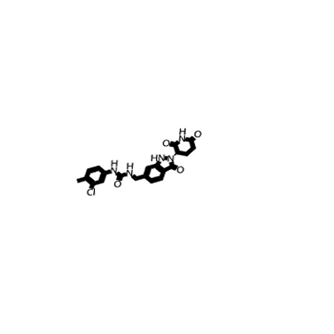 Cc1ccc(NC(=O)NCc2ccc3c(=O)n([C@H]4CCC(=O)NC4=O)[nH]c3c2)cc1Cl